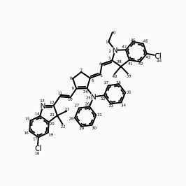 CCN1/C(=C/C=C2\CCC(/C=C/C3=Nc4ccc(Cl)cc4C3(C)C)=C2N(c2ccccc2)c2ccccc2)C(C)(C)c2cc(Cl)ccc21